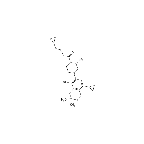 CC(C)C1CN(c2nc(C3CC3)c3c(c2C#N)CC(C)(C)OC3)CCN1C(=O)COCC1CC1